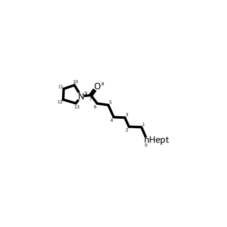 CCCCCCCCCCCCCC(=O)N1CCCC1